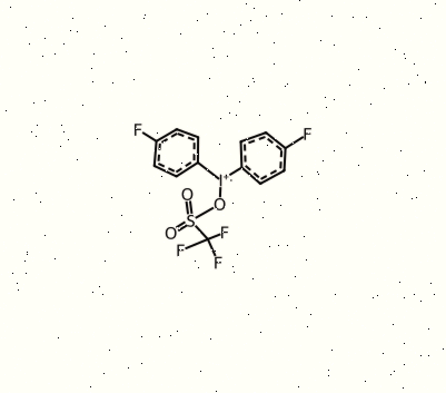 O=S(=O)(O[I+](c1ccc(F)cc1)c1ccc(F)cc1)C(F)(F)F